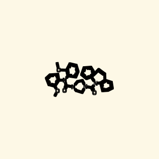 COc1ccccc1N(C(=O)N1CCN(C(=O)N2c3ccccc3C=Cc3ccccc32)CC1)c1ccccc1OC